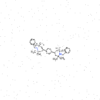 CC1(C)C=C(c2ccc(C3=CC(C)(C)N(Cc4ccccc4)C(C)(C)C3)cc2)CC(C)(C)N1Cc1ccccc1